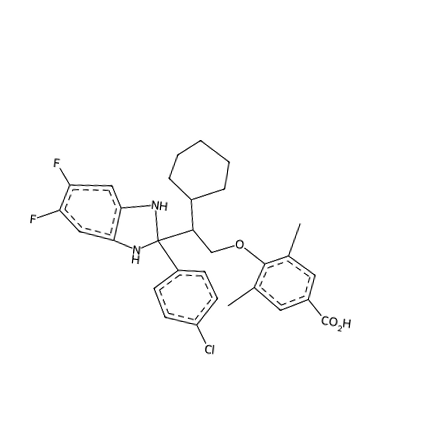 Cc1cc(C(=O)O)cc(C)c1OCC(C1CCCCC1)C1(c2ccc(Cl)cc2)Nc2cc(F)c(F)cc2N1